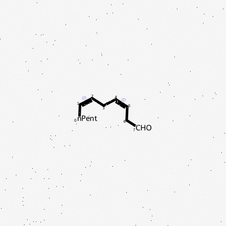 CCCCC/C=C\C/C=C\CC=O